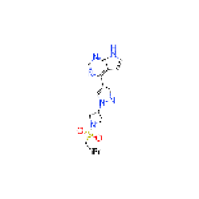 CC(C)CS(=O)(=O)N1CC(n2cc(-c3ncnc4[nH]ccc34)cn2)C1